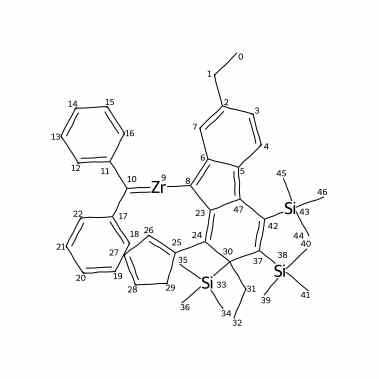 CCc1ccc2c(c1)=[C]([Zr]=[C](c1ccccc1)c1ccccc1)C1=C(C3=CC=CC3)C(CC)([Si](C)(C)C)C([Si](C)(C)C)=C([Si](C)(C)C)C=21